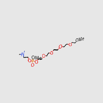 COCCOCCOCCOCCOCCOP(=O)(OC)OCCN(C)C